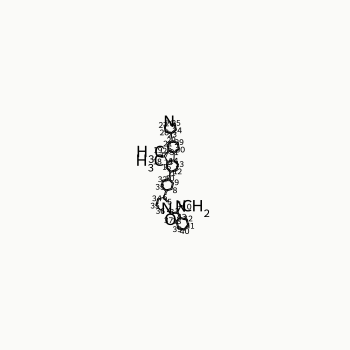 C=Nc1c(N2C=C(c3ccc(-c4ccc5c(c4)C(C)(C)c4cc(-c6ccncc6)ccc4-5)cc3)C=CC2)oc2ccccc12